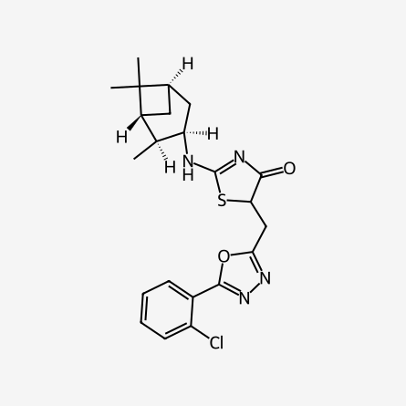 C[C@H]1[C@H]2C[C@H](C[C@H]1NC1=NC(=O)C(Cc3nnc(-c4ccccc4Cl)o3)S1)C2(C)C